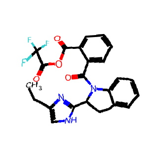 CCc1c[nH]c(C2Cc3ccccc3N2C(=O)c2ccccc2C(=O)OC(=O)C(F)(F)F)n1